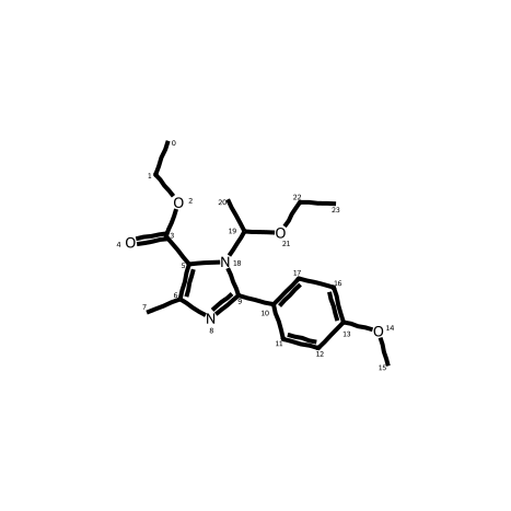 CCOC(=O)c1c(C)nc(-c2ccc(OC)cc2)n1C(C)OCC